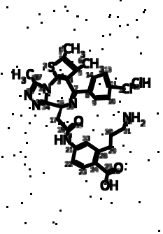 Cc1sc2c(c1C)C(c1ccc(Cl)cc1)=N[C@@H](CC(=O)Nc1ccc(C(=O)O)c(CCCN)c1)c1nnc(C)n1-2.Cl